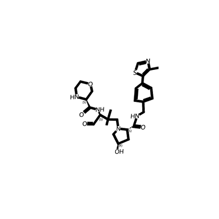 Cc1ncsc1-c1ccc(CNC(=O)[C@@H]2C[C@@H](O)CN2CC(C)(C)[C@@H](C=O)NC(=O)[C@@H]2COCCN2)cc1